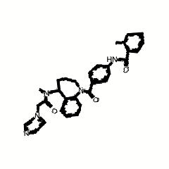 Cc1ccccc1C(=O)Nc1ccc(C(=O)N2CCCC(N(C)C(=O)Cn3ccnc3)c3ccccc32)cc1